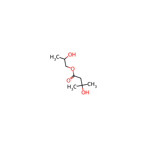 CC(O)COC(=O)CC(C)(C)O